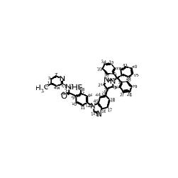 Cc1ccnc(NC(=O)c2ccc(-n3cnc4ccc(-c5cnn(C(c6ccccc6)(c6ccccc6)c6ccccc6)c5)cc43)cc2F)c1